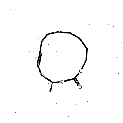 C[C@H]1C/C=C/CCCCCCCCC(=O)C1